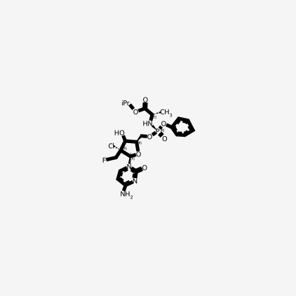 CC(C)OC(=O)[C@H](C)N[P@@](=O)(OC[C@H]1O[C@@H](n2ccc(N)nc2=O)[C@@](Cl)(CF)C1O)Oc1ccccc1